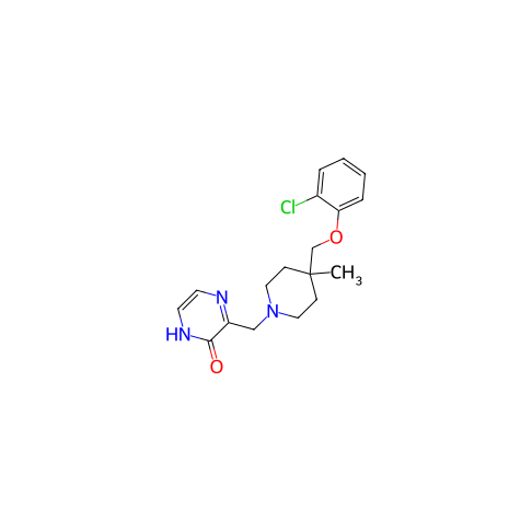 CC1(COc2ccccc2Cl)CCN(Cc2ncc[nH]c2=O)CC1